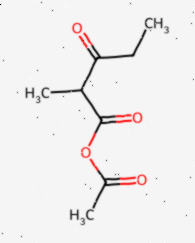 CCC(=O)C(C)C(=O)OC(C)=O